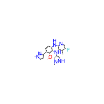 COc1c(-c2ccn(C)n2)ccc(Nc2cc(C)c(F)cn2)c1NC1=CNN(C)C1